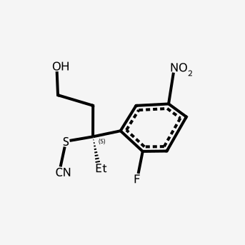 CC[C@@](CCO)(SC#N)c1cc([N+](=O)[O-])ccc1F